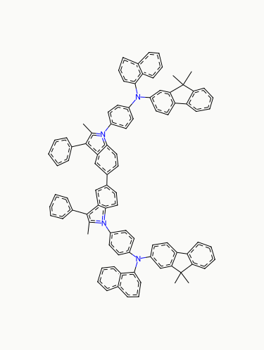 Cc1c(-c2ccccc2)c2cc(-c3ccc4c(c3)c(-c3ccccc3)c(C)n4-c3ccc(N(c4ccc5c(c4)C(C)(C)c4ccccc4-5)c4cccc5ccccc45)cc3)ccc2n1-c1ccc(N(c2ccc3c(c2)C(C)(C)c2ccccc2-3)c2cccc3ccccc23)cc1